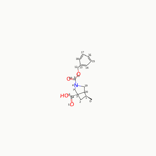 C[C@H]1CC2(C(=O)O)CN(C(=O)OCc3ccccc3)CC12